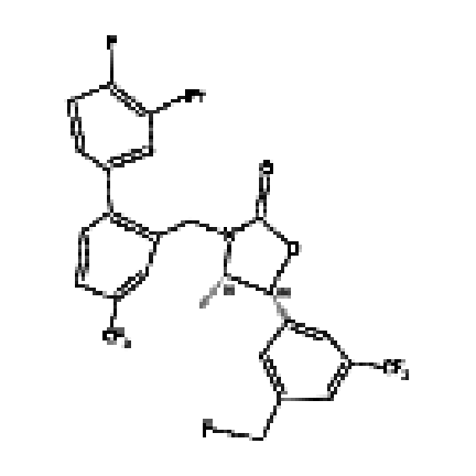 CC(C)c1cc(-c2ccc(C(F)(F)F)cc2CN2C(=O)O[C@H](c3cc(CF)cc(C(F)(F)F)c3)[C@@H]2C)ccc1F